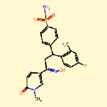 Cc1cc(Cl)ccc1C(C/C(=N\O)c1ccc(=O)n(C)c1)c1ccc(S(N)(=O)=O)cc1